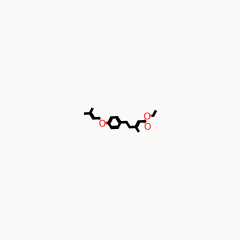 CCOC(=O)C=C(C)CCc1ccc(OCC=C(C)C)cc1